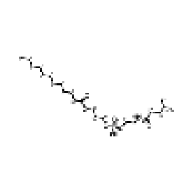 CCCCCCCCCCCC(=O)OCCCOP(=O)(O)OCCNC(=O)CCC(C)C